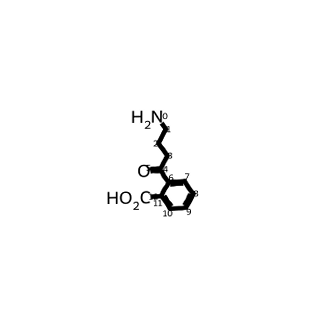 NCCCC(=O)c1ccccc1C(=O)O